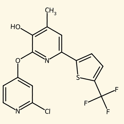 Cc1cc(-c2ccc(C(F)(F)F)s2)nc(Oc2ccnc(Cl)c2)c1O